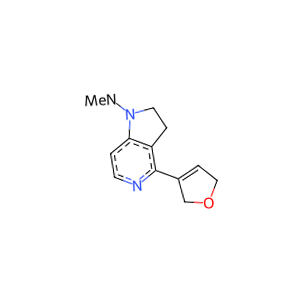 CNN1CCc2c1ccnc2C1=CCOC1